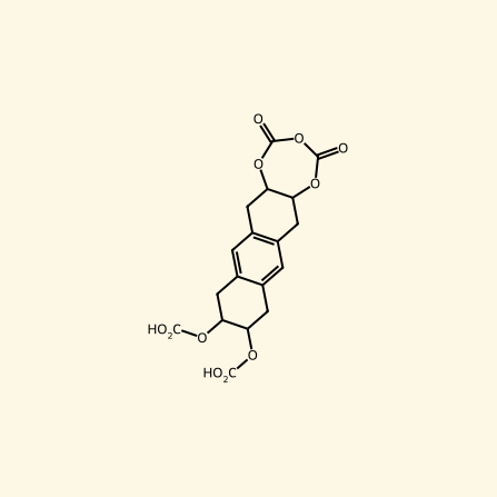 O=C(O)OC1Cc2cc3c(cc2CC1OC(=O)O)CC1OC(=O)OC(=O)OC1C3